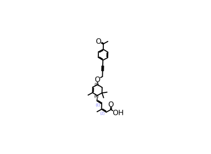 CC(=O)c1ccc(C#CCO[C@@H]2C=C(C)[C@H](/C=C/C(C)=C\C(=O)O)C(C)(C)C2)cc1